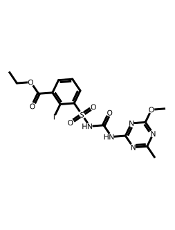 CCOC(=O)c1cccc(S(=O)(=O)NC(=O)Nc2nc(C)nc(OC)n2)c1I